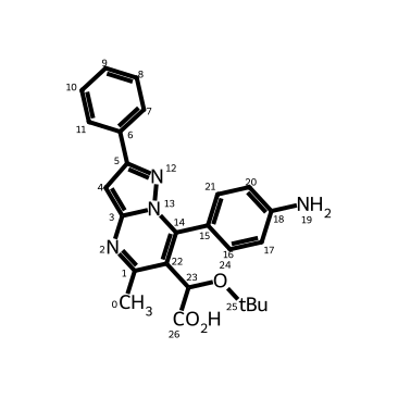 Cc1nc2cc(-c3ccccc3)nn2c(-c2ccc(N)cc2)c1C(OC(C)(C)C)C(=O)O